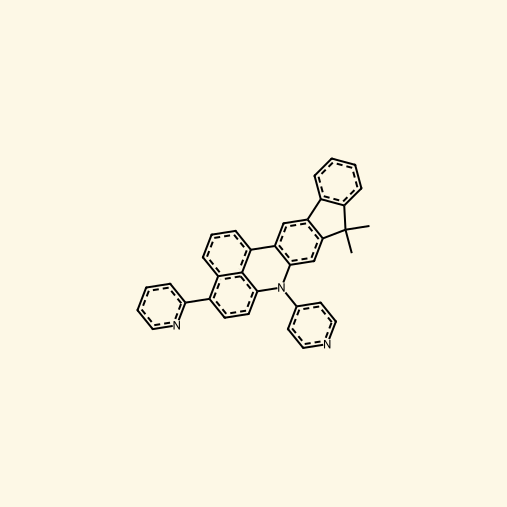 CC1(C)c2ccccc2-c2cc3c(cc21)N(c1ccncc1)c1ccc(-c2ccccn2)c2cccc-3c12